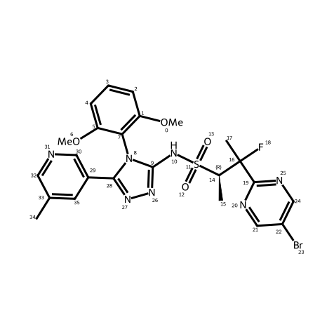 COc1cccc(OC)c1-n1c(NS(=O)(=O)[C@H](C)C(C)(F)c2ncc(Br)cn2)nnc1-c1cncc(C)c1